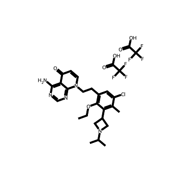 CCOc1c(CCn2ccc(=O)c3c(N)ncnc32)cc(Cl)c(C)c1C1CN(C(C)C)C1.O=C(O)C(F)(F)F.O=C(O)C(F)(F)F